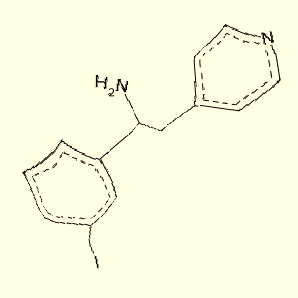 NC(Cc1ccncc1)c1cccc(I)c1